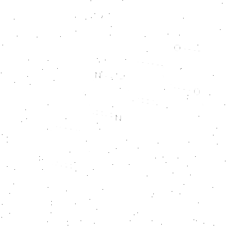 COc1cc2ncc(-c3ccc(C)cc3)nc2cc1OC